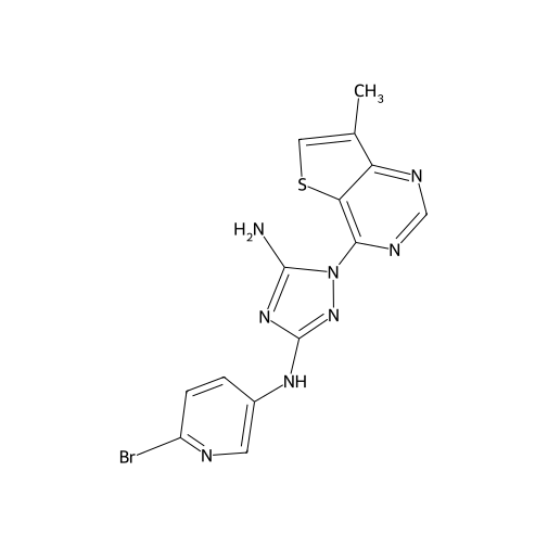 Cc1csc2c(-n3nc(Nc4ccc(Br)nc4)nc3N)ncnc12